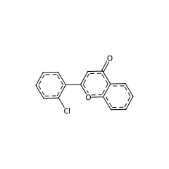 O=c1cc(-c2ccccc2Cl)oc2ccccc12